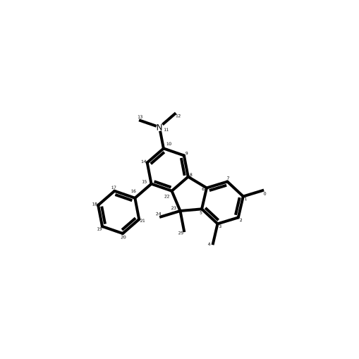 Cc1cc(C)c2c(c1)-c1cc(N(C)C)cc(-c3ccccc3)c1C2(C)C